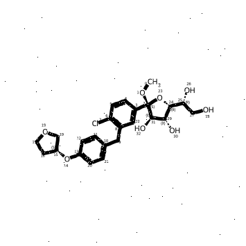 CO[C@@]1(c2ccc(Cl)c(Cc3ccc(O[C@H]4CCOC4)cc3)c2)O[C@H]([C@H](O)CO)[C@H](O)[C@H]1O